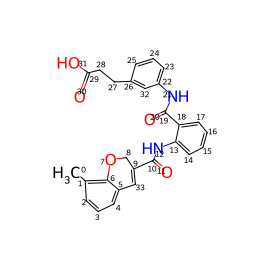 Cc1cccc2c1OCC(C(=O)Nc1ccccc1C(=O)Nc1cccc(CCC(=O)O)c1)=C2